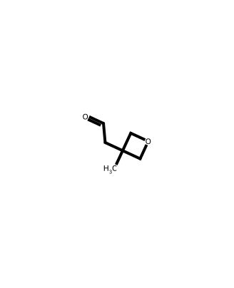 CC1(CC=O)COC1